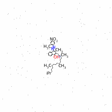 C/C(=C\Cc1c(C)c(/N=N/c2ccc([N+](=O)[O-])cc2C)c2ccccc2c1O)CCCC(C)CCCC(C)CCCC(C)C